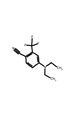 CCN(CC)c1ccc(C#N)c(C(F)(F)F)c1